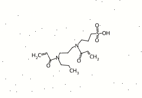 C=CC(=O)N(CCC)CCCN(CCCS(=O)(=O)O)C(=O)C=C